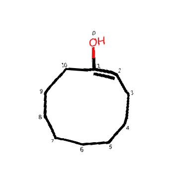 O/C1=C/CCCCCCCC1